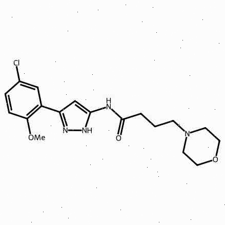 COc1ccc(Cl)cc1-c1cc(NC(=O)CCCN2CCOCC2)[nH]n1